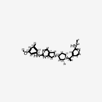 C=C(c1ccnc(NSC)c1)N1CC[C@@H](N2Cc3cnc(Nc4cc(C)cc(OC)c4)nc3C2)C[C@H]1C